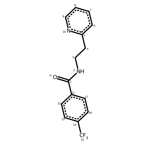 O=C(NCCc1ccccn1)c1ccc(C(F)(F)F)cc1